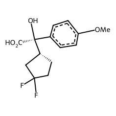 COc1ccc([C@@](O)(C(=O)O)[C@@H]2CCC(F)(F)C2)cc1